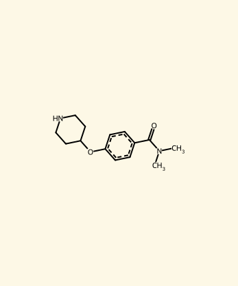 CN(C)C(=O)c1ccc(OC2CCNCC2)cc1